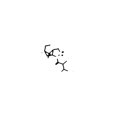 CCCCCCC(O)C(C)C(=O)N1[C@H]2C[C@@H]3CC[C@@]2(CS1(=O)=O)C3(C)C